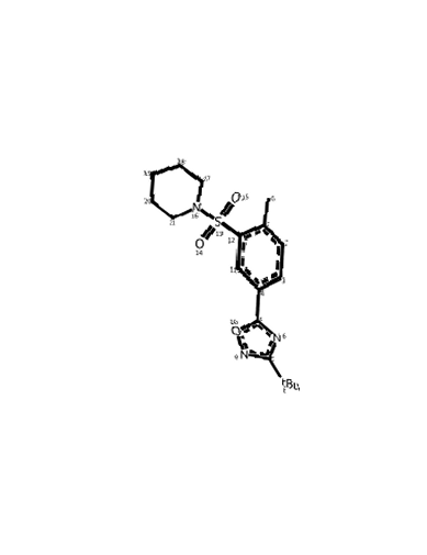 Cc1ccc(-c2nc(C(C)(C)C)no2)cc1S(=O)(=O)N1CCCCC1